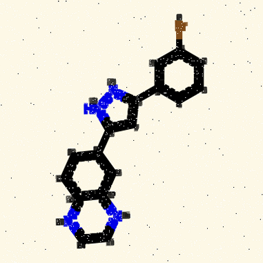 Brc1cccc(-c2cc(-c3ccc4nccnc4c3)[nH]n2)c1